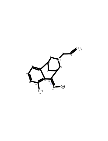 C=CCN1CC2CC(C1)c1cccc(O)c1/C2=N/O